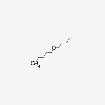 C.CCCCCOCCCCC